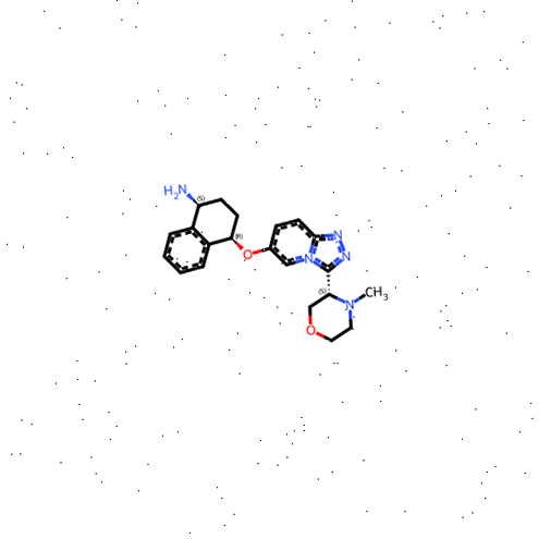 CN1CCOC[C@@H]1c1nnc2ccc(O[C@@H]3CC[C@H](N)c4ccccc43)cn12